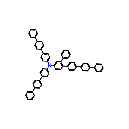 C1=CC(c2ccccc2)CC=C1c1ccc(N(c2ccc(-c3ccc(-c4ccccc4)cc3)cc2)c2ccc(-c3ccc(-c4ccc(-c5ccccc5)cc4)cc3)c(-c3ccccc3)c2)cc1